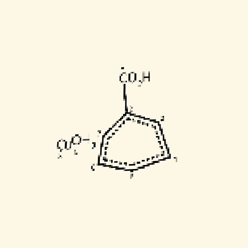 O.O=C(O)c1ccccc1.[Cu]